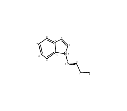 CCC=Nn1ccc2ccccc21